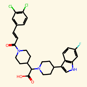 O=C(O)C(C1CCN(C(=O)C=Cc2ccc(Cl)c(Cl)c2)CC1)N1CCC(c2c[nH]c3cc(F)ccc23)CC1